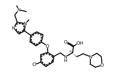 CN(C)Cc1ncc(-c2ccc(Oc3cc(Cl)ccc3CN[C@@H](CCN3CCOCC3)C(=O)O)cc2)n1C